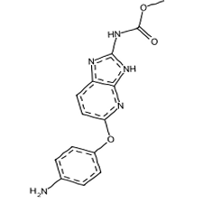 COC(=O)Nc1nc2ccc(Oc3ccc(N)cc3)nc2[nH]1